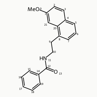 COc1ccc2cccc(CCNC(=O)c3ccccc3)c2c1